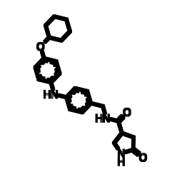 O=C1CC(C(=O)NCc2ccc(Nc3ccc(OC4CCCCC4)cc3)cc2)CN1